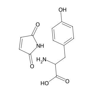 NC(Cc1ccc(O)cc1)C(=O)O.O=C1C=CC(=O)N1